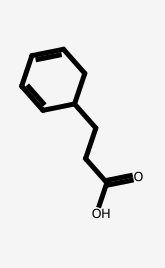 O=C(O)CCC1C=CC=CC1